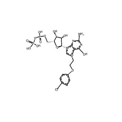 Nc1nc(O)c2c(n1)n([C@@H]1O[C@H](COP(=O)(O)OP(=O)(O)O)[C@@H](O)[C@H]1O)c[n+]2CCOc1ccc(Cl)cc1